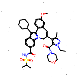 CCn1nc(C)c(C2=Cc3cc(OC)ccc3-c3c(C4CCCCC4)c4ccc(C(=O)NS(=O)(=O)C(C)C)cc4n3C2)c1C(=O)N1CCOCC1